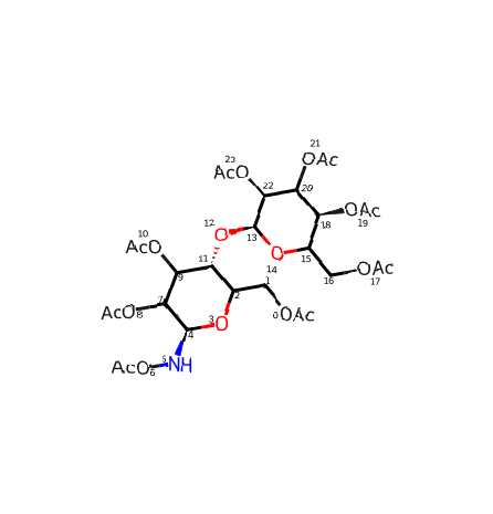 CC(=O)OCC1O[C@@H](NOC(C)=O)C(OC(C)=O)C(OC(C)=O)[C@@H]1O[C@@H]1OC(COC(C)=O)[C@H](OC(C)=O)C(OC(C)=O)C1OC(C)=O